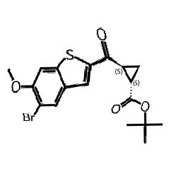 COc1cc2sc(C(=O)[C@H]3C[C@@H]3C(=O)OC(C)(C)C)cc2cc1Br